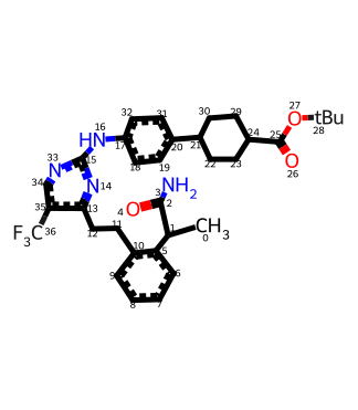 CC(C(N)=O)c1ccccc1CCc1nc(Nc2ccc(C3CCC(C(=O)OC(C)(C)C)CC3)cc2)ncc1C(F)(F)F